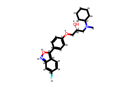 CN(C[C@@H](O)COc1ccc(-c2onc3cc(F)ccc23)cc1)C1CCCCC1